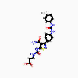 Cc1ccc(NC(=O)Nc2ccc(-c3nsc(NC(=O)NCCC(=O)O)c3C(N)=O)cc2)cc1